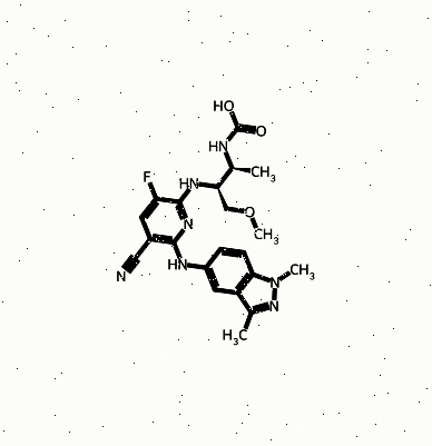 COC[C@@H](Nc1nc(Nc2ccc3c(c2)c(C)nn3C)c(C#N)cc1F)[C@H](C)NC(=O)O